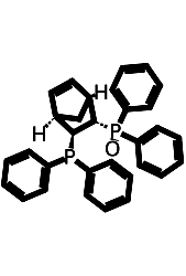 O=P(c1ccccc1)(c1ccccc1)[C@@H]1[C@@H](P(c2ccccc2)c2ccccc2)[C@H]2C=C[C@@H]1C2